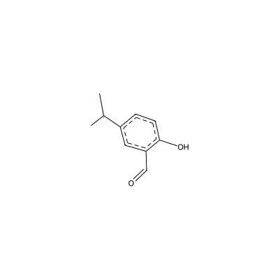 C[C](C)c1ccc(O)c(C=O)c1